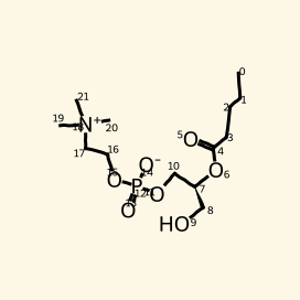 CCCCC(=O)O[C@@H](CO)COP(=O)([O-])OCC[N+](C)(C)C